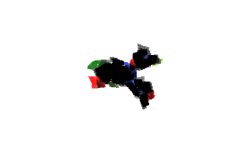 C=CC(=O)N1CCN(c2nc(OC[C@@]34CCCN3C[C@H](F)C4)nc3cc(-c4cc(O)cc(Cl)c4C4CC4)c(F)cc23)CC12CC2